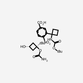 CC(C)(C)OC(=O)NC1(c2cc(C(=O)O)ccc2[N+](=O)[O-])CCC1.CC(C)(C)[C@]1(OC(N)=O)C[C@H](O)C1